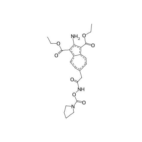 CCOC(=O)c1c2ccc(CC(=O)NOC(=O)N3CCCC3)ccc-2c(C(=O)OCC)c1N